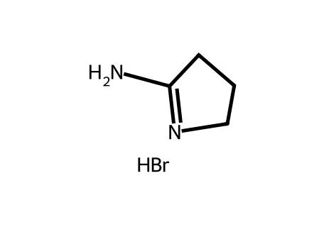 Br.NC1=NCCC1